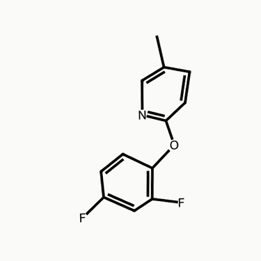 Cc1ccc(Oc2ccc(F)cc2F)nc1